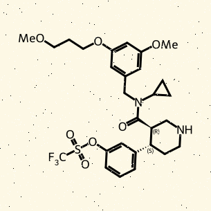 COCCCOc1cc(CN(C(=O)[C@H]2CNCC[C@@H]2c2cccc(OS(=O)(=O)C(F)(F)F)c2)C2CC2)cc(OC)c1